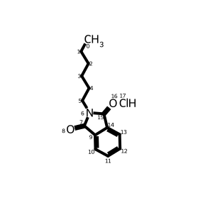 CCCCCCN1C(=O)c2ccccc2C1=O.Cl